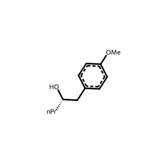 CCC[C@H](O)Cc1ccc(OC)cc1